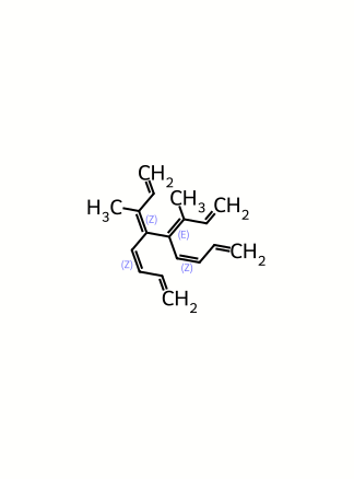 C=C\C=C/C(=C(\C)C=C)C(/C=C\C=C)=C(\C)C=C